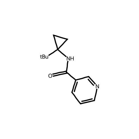 CC(C)(C)C1(NC(=O)c2cccnc2)CC1